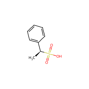 C[C@@H](c1ccccc1)S(=O)(=O)O